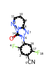 N#Cc1cc(F)c(-n2nc3cccnn3c2=O)cc1F